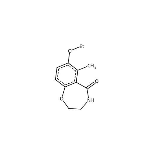 CCOc1ccc2c(c1C)C(=O)NCCO2